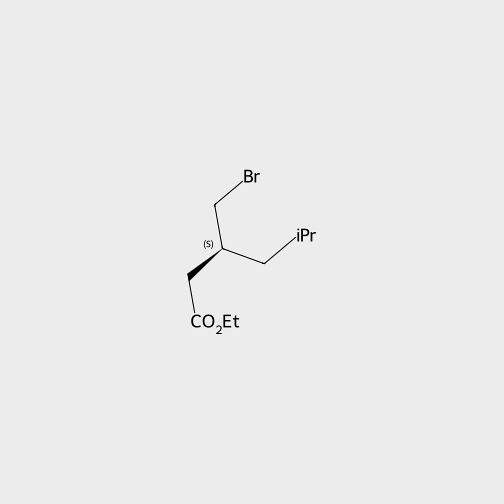 CCOC(=O)C[C@@H](CBr)CC(C)C